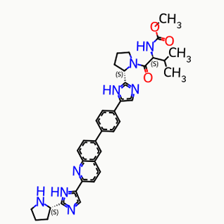 COC(=O)N[C@H](C(=O)N1CCC[C@H]1c1ncc(-c2ccc(-c3ccc4nc(-c5cnc([C@@H]6CCCN6)[nH]5)ccc4c3)cc2)[nH]1)C(C)C